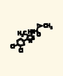 Cc1c(-c2ccc(Cl)c(Cl)c2)nsc1NC(=O)C1CC1C